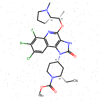 C[C@H](Oc1nc2c(F)c(Br)c(Cl)cc2c2c1[nH]c(=O)n2[C@H]1CCN(C(=O)OC(C)(C)C)[C@@H](CC#N)C1)[C@@H]1CCCN1C